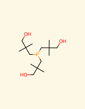 CC(C)(CO)CP(CC(C)(C)CO)CC(C)(C)CO